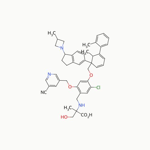 Cc1ccccc1C1=CC=CC(COc2cc(OCc3cncc(C#N)c3)c(CNC(C)(CO)C(=O)O)cc2Cl)(c2ccc3c(c2)CCC3N2CC(C)C2)C1C